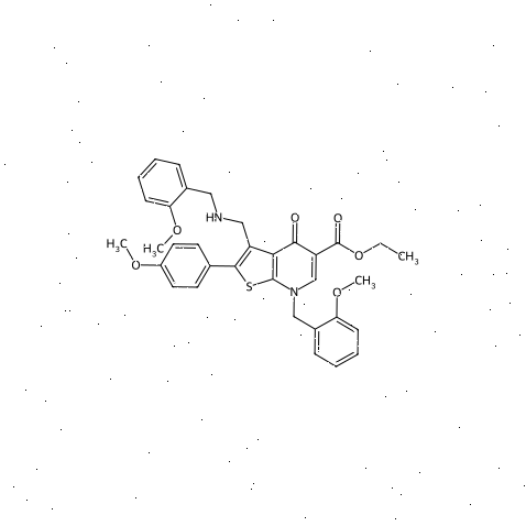 CCOC(=O)c1cn(Cc2ccccc2OC)c2sc(-c3ccc(OC)cc3)c(CNCc3ccccc3OC)c2c1=O